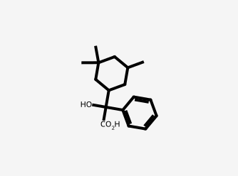 CC1CC(C(O)(C(=O)O)c2ccccc2)CC(C)(C)C1